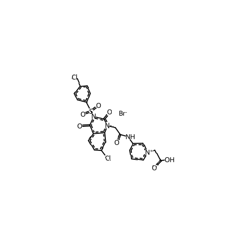 O=C(O)C[n+]1cccc(NC(=O)Cn2c(=O)n(S(=O)(=O)c3ccc(Cl)cc3)c(=O)c3ccc(Cl)cc32)c1.[Br-]